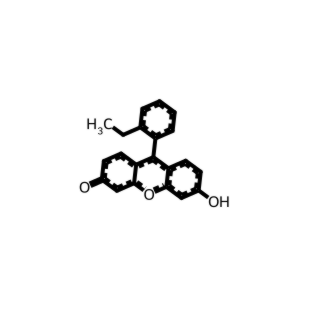 CCc1ccccc1-c1c2ccc(=O)cc-2oc2cc(O)ccc12